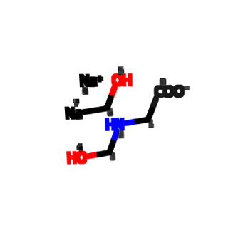 O=C([O-])CNCO.O[CH2][Na].[Na+]